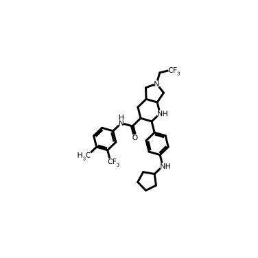 Cc1ccc(NC(=O)C2CC3CN(CC(F)(F)F)CC3NC2c2ccc(NC3CCCC3)cc2)cc1C(F)(F)F